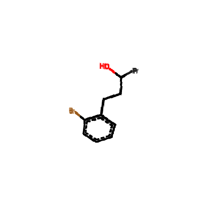 CC(C)C(O)CCc1ccccc1Br